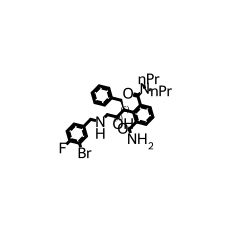 CCCN(CCC)C(=O)c1cccc(C(N)=O)c1[C@H](Cc1ccccc1)[C@@H](O)CNCc1ccc(F)c(Br)c1